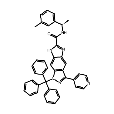 Cc1cccc([C@@H](C)NC(=O)c2nc3cc4c(-c5ccncc5)nn(C(c5ccccc5)(c5ccccc5)c5ccccc5)c4cc3[nH]2)c1